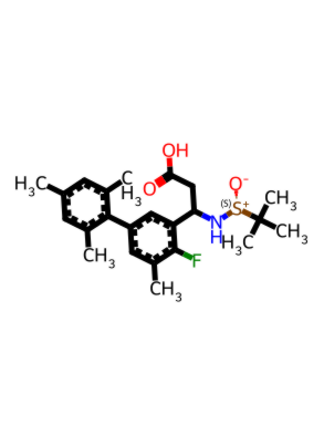 Cc1cc(C)c(-c2cc(C)c(F)c(C(CC(=O)O)N[S@+]([O-])C(C)(C)C)c2)c(C)c1